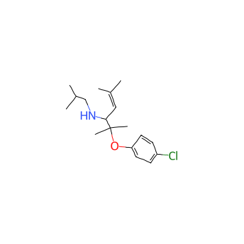 CC(C)=CC(NCC(C)C)C(C)(C)Oc1ccc(Cl)cc1